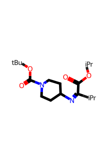 CC(C)OC(=O)/C(=N\C1CCN(C(=O)OC(C)(C)C)CC1)C(C)C